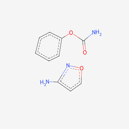 NC(=O)Oc1ccccc1.Nc1ccon1